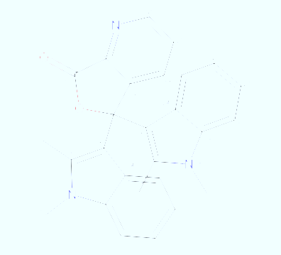 Cc1c(C2(c3c(C)n(C)c4ccccc34)OC(=O)c3ncccc32)c2ccccc2n1C